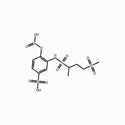 CC(CCS(C)(=O)=O)S(=O)(=O)Nc1cc(S(=O)(=O)O)ccc1OS(=O)O